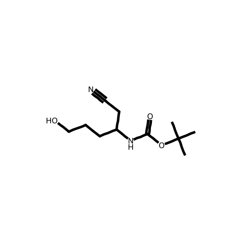 CC(C)(C)OC(=O)NC(CC#N)CCCO